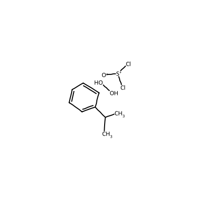 CC(C)c1ccccc1.OO.[O-][S+](Cl)Cl